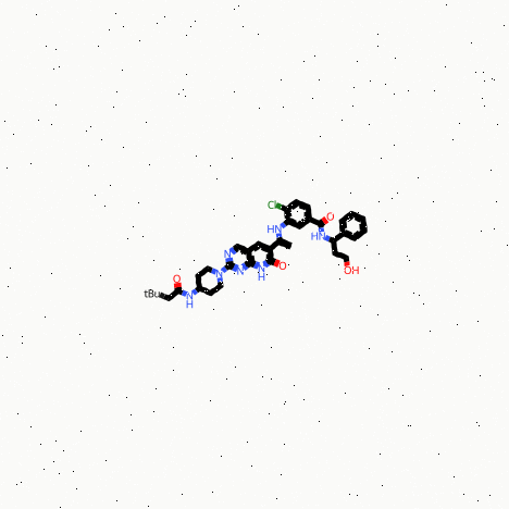 C=C(Nc1cc(C(=O)NC(CCO)c2ccccc2)ccc1Cl)c1cc2cnc(N3CCC(NC(=O)CC(C)(C)C)CC3)nc2[nH]c1=O